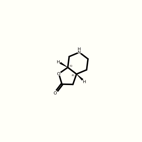 O=C1C[C@H]2CCNC[C@H]2O1